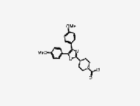 COc1ccc(-c2nc(C3CCN(C(=O)Cl)CC3)oc2-c2ccc(OC)cc2)cc1